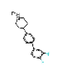 CC[SiH]1CCC(c2ccc(-c3ccc(F)c(F)c3)cc2)CC1